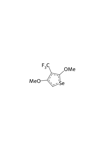 COc1c[se]c(OC)c1C(F)(F)F